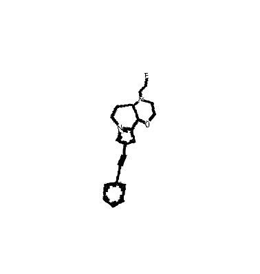 FCCN1CCOC2c3cc(C#Cc4ccccc4)cn3CCC21